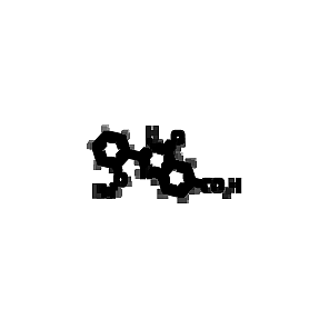 CCC(C)Oc1ccccc1-c1nc2ccc(C(=O)O)cc2c(=O)[nH]1